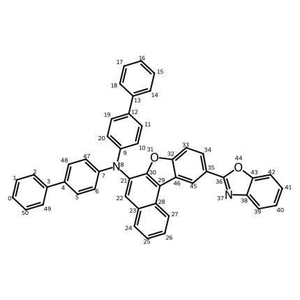 c1ccc(-c2ccc(N(c3ccc(-c4ccccc4)cc3)c3cc4ccccc4c4c3oc3ccc(-c5nc6ccccc6o5)cc34)cc2)cc1